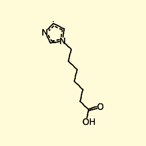 O=C(O)CCCCCCn1c[c]nc1